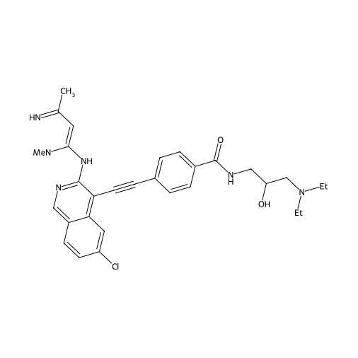 CCN(CC)CC(O)CNC(=O)c1ccc(C#Cc2c(N/C(=C/C(C)=N)NC)ncc3ccc(Cl)cc23)cc1